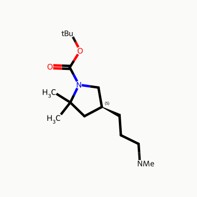 CNCCC[C@@H]1CN(C(=O)OC(C)(C)C)C(C)(C)C1